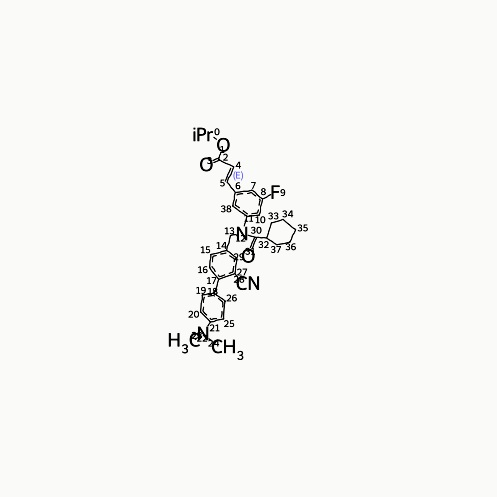 CC(C)OC(=O)/C=C/c1cc(F)cc(N(Cc2ccc(-c3ccc(N(C)C)cc3)c(C#N)c2)C(=O)C2CCCCC2)c1